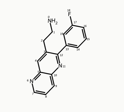 NCCc1cc2ncccc2nc1-c1cccc(F)c1